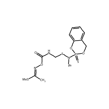 CSC(C)=NOC(=O)NCSN(C(C)C)P1(=S)OCc2ccccc2O1